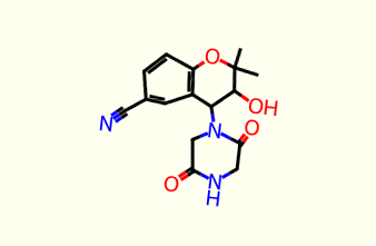 CC1(C)Oc2ccc(C#N)cc2C(N2CC(=O)NCC2=O)C1O